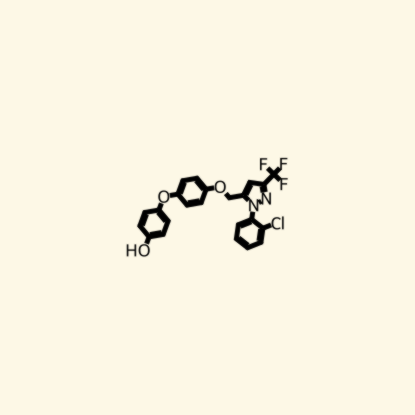 Oc1ccc(Oc2ccc(OCc3cc(C(F)(F)F)nn3-c3ccccc3Cl)cc2)cc1